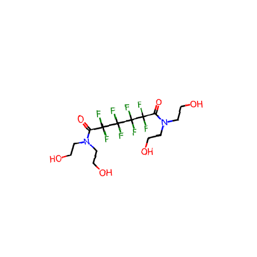 O=C(N(CCO)CCO)C(F)(F)C(F)(F)C(F)(F)C(F)(F)C(=O)N(CCO)CCO